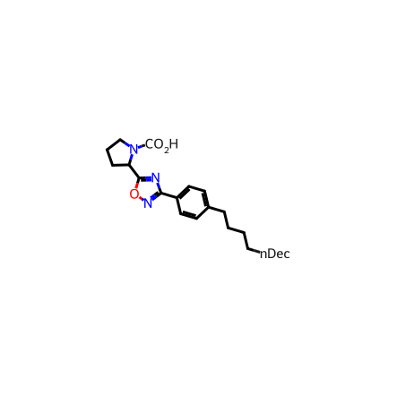 CCCCCCCCCCCCCCc1ccc(-c2noc(C3CCCN3C(=O)O)n2)cc1